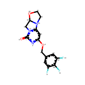 O=c1nc(OCc2cc(F)c(F)c(F)c2)cc2n1CC1OCCN21